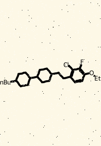 CCCCC1CCC(C2CCC(CCc3ccc(OCC)c(F)c3Cl)CC2)CC1